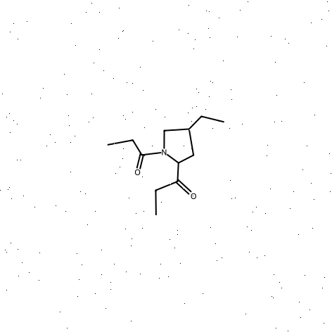 CCC(=O)C1CC(CC)CN1C(=O)CC